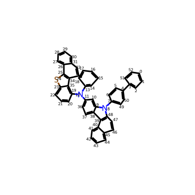 c1ccc(-c2ccc(-n3c4cc(N(c5ccccc5)c5cccc6sc7c8ccccc8ccc7c56)ccc4c4c5ccccc5ccc43)cc2)cc1